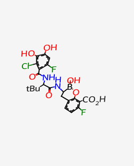 CC(C)(C)C(NC(=O)c1c(F)cc(O)c(O)c1Cl)C(=O)NC1Cc2ccc(F)c(C(=O)O)c2OB1O